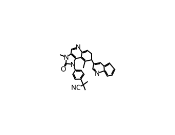 CC1=c2c(ncc3c2n(-c2ccc(C(C)(C)C#N)cc2)c(=O)n3C)=CCC1c1cnc2ccccc2c1